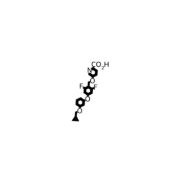 O=C(O)c1ccc(OCc2c(F)cc(Oc3cccc(OCC4CC4)c3)cc2F)cn1